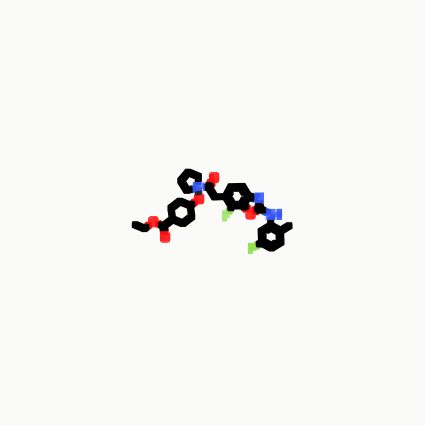 CCOC(=O)C1CCC(O[N+]2(C(=O)Cc3ccc4nc(Nc5cc(F)ccc5C)oc4c3F)CCCC2)CC1